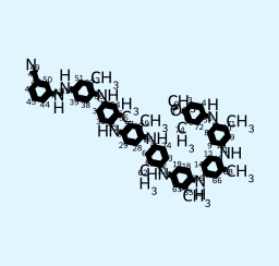 COc1ccc(Nc2ccc(Nc3ccc(Nc4ccc(Nc5ccc(Nc6ccc(Nc7ccc(Nc8ccc(NNc9cccc(C#N)c9)cc8C)cc7C)cc6C)cc5C)cc4C)cc3C)cc2C)cc1C